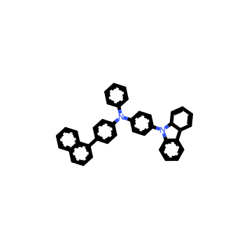 C1=CC2c3ccccc3N(c3ccc(N(c4ccccc4)c4ccc(-c5cccc6ccccc56)cc4)cc3)C2C=C1